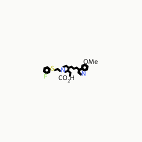 COc1ccc2nccc(CCCC3CCN(CCCSc4cccc(F)c4)CC3CCC(=O)O)c2c1